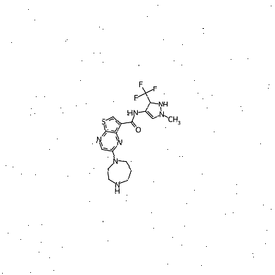 CN1C=C(NC(=O)c2csc3ncc(N4CCCNCC4)nc23)C(C(F)(F)F)N1